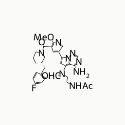 COc1ncc(-c2cc(N(C=O)CCNC(C)=O)c3c(N)ncnn23)cc1C(=O)N1CCC[C@@H](Cc2ccc(F)cc2)C1